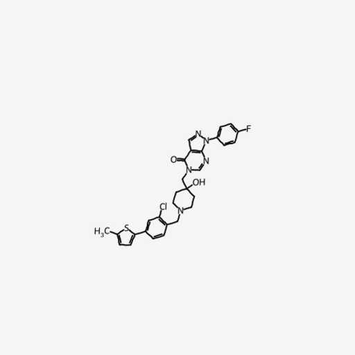 Cc1ccc(-c2ccc(CN3CCC(O)(Cn4cnc5c(cnn5-c5ccc(F)cc5)c4=O)CC3)c(Cl)c2)s1